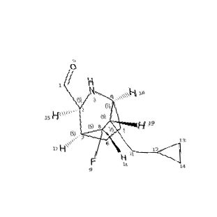 O=C[C@H]1N[C@H]2CC[C@@H]1[C@@H](F)[C@H]2CC1CC1